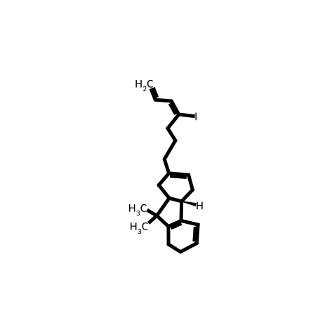 C=C/C=C(/I)CCCC1=CC[C@@H]2C3=C(CCC=C3)C(C)(C)C2C1